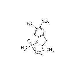 CC1(C2Cc3cc([N+](=O)[O-])c(C(F)(F)F)cc3N2S(C)(=O)=O)CO1